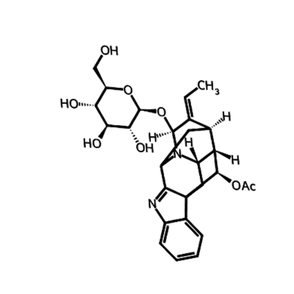 C/C=C1\[C@@H]2CC3C4=Nc5ccccc5C45C[C@@H]([C@H]2[C@H]5OC(C)=O)N3[C@H]1O[C@@H]1O[C@H](CO)[C@@H](O)[C@H](O)[C@H]1O